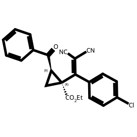 CCOC(=O)[C@]1(C(=C(C#N)C#N)c2ccc(Cl)cc2)C[C@H]1C(=O)c1ccccc1